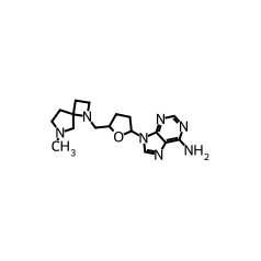 CN1CCC2(CCN2CC2CCC(n3cnc4c(N)ncnc43)O2)C1